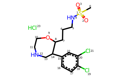 CS(=O)(=O)NCCCC1OCCNCC1c1ccc(Cl)c(Cl)c1.Cl